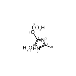 Cc1nc(OC(=O)O)c[nH]1.O